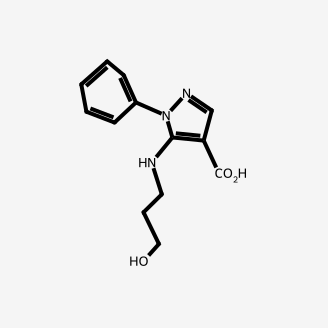 O=C(O)c1cnn(-c2ccccc2)c1NCCCO